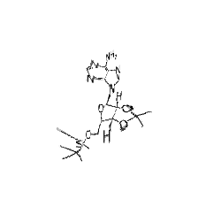 CC1(C)O[C@@H]2[C@H](O1)[C@@H](CO[Si](C)(C)C(C)(C)C)O[C@H]2n1cnc2c(N)ncnc21